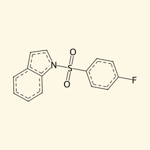 O=S(=O)(c1ccc(F)cc1)n1ccc2ccccc21